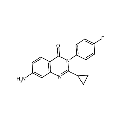 Nc1ccc2c(=O)n(-c3ccc(F)cc3)c(C3CC3)nc2c1